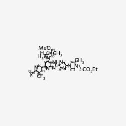 CCOC(=O)CCN1CCN(c2cnc(-c3nc4nc(-c5cnc(C6CC6)c(C(F)(F)F)c5)cc(N(C)CC(C)(C)COC)c4[nH]3)cn2)C[C@@H]1C